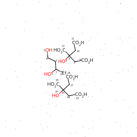 CCC(O)CCO.O=C(O)CC(O)(CC(=O)O)C(=O)O.O=C(O)CC(O)(CC(=O)O)C(=O)O